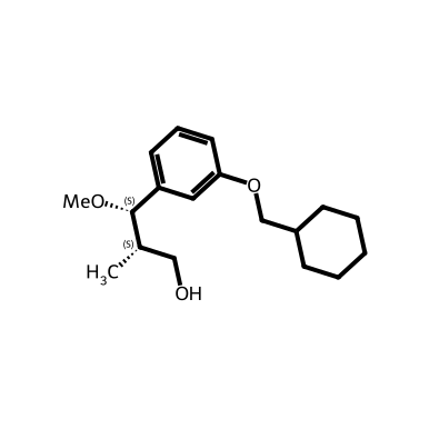 CO[C@H](c1cccc(OCC2CCCCC2)c1)[C@@H](C)CO